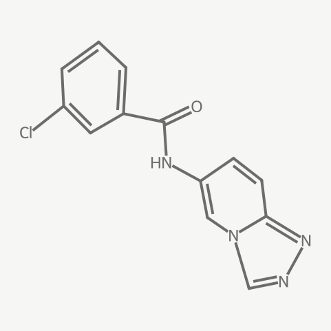 O=C(Nc1ccc2nncn2c1)c1cccc(Cl)c1